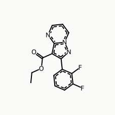 CCOC(=O)c1c(-c2cccc(F)c2F)nn2cccnc12